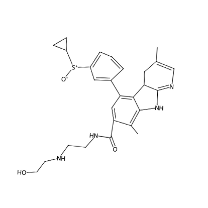 CC1=CN=C2Nc3c(C)c(C(=O)NCCNCCO)cc(-c4cccc([S+]([O-])C5CC5)c4)c3C2C1